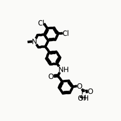 CN1Cc2c(Cl)cc(Cl)cc2C(c2ccc(NC(=O)c3cccc(O[PH](=O)O)c3)cc2)C1